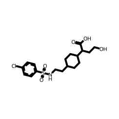 O=C(O)C(CCO)C1CCC(CCNS(=O)(=O)c2ccc(Cl)cc2)CC1